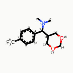 CN(C)C(c1ccc(C(F)(F)F)cc1)C1COCOC1